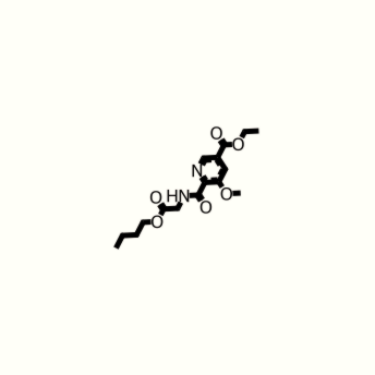 CCCCOC(=O)CNC(=O)c1ncc(C(=O)OCC)cc1OC